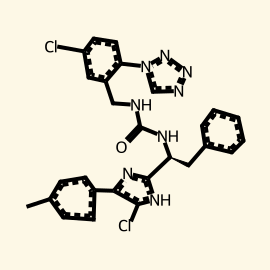 Cc1ccc(-c2nc([C@H](Cc3ccccc3)NC(=O)NCc3cc(Cl)ccc3-n3cnnn3)[nH]c2Cl)cc1